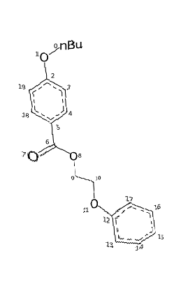 CCCCOc1ccc(C(=O)OCCOc2ccccc2)cc1